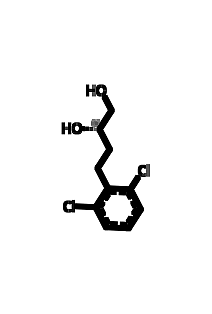 OC[C@@H](O)CCc1c(Cl)cccc1Cl